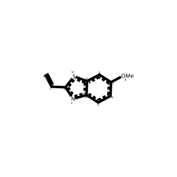 C=Cc1nc2ccc(OC)cc2s1